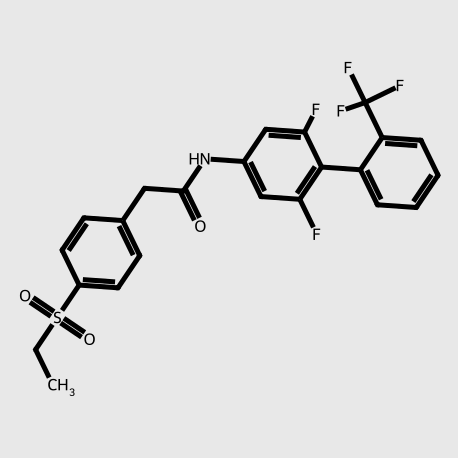 CCS(=O)(=O)c1ccc(CC(=O)Nc2cc(F)c(-c3ccccc3C(F)(F)F)c(F)c2)cc1